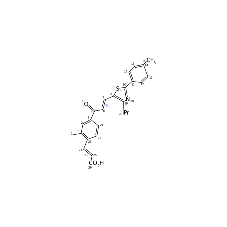 Cc1cc(C(=O)/C=C/c2sc(-c3ccc(C(F)(F)F)cc3)nc2C(C)C)ccc1/C=C/C(=O)O